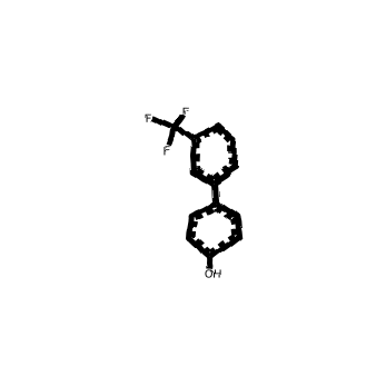 Oc1ccc(-c2cccc(C(F)(F)F)c2)cc1